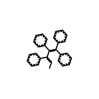 CC=C(C(=C(c1ccccc1)c1ccccc1)c1ccccc1)c1ccccc1